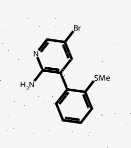 CSc1ccccc1-c1cc(Br)cnc1N